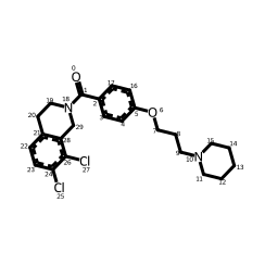 O=C(c1ccc(OCCCN2CCCCC2)cc1)N1CCc2ccc(Cl)c(Cl)c2C1